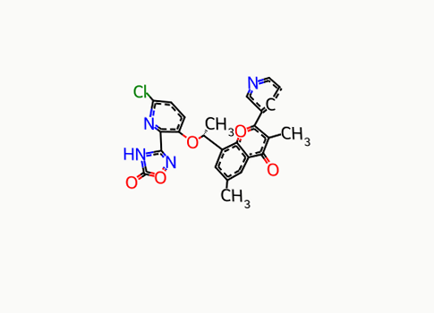 Cc1cc([C@@H](C)Oc2ccc(Cl)nc2-c2noc(=O)[nH]2)c2oc(-c3cccnc3)c(C)c(=O)c2c1